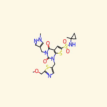 COCc1ncc(Cn2c(=O)n(Cc3cnn(C)c3)c(=O)c3cc(S(=O)(=O)NC4(C)CC4)sc32)s1